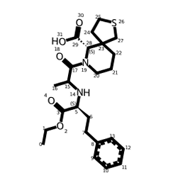 CCOC(=O)[C@H](CCc1ccccc1)NC(C)C(=O)N1CCCC2(CCSC2)[C@H]1C(=O)O